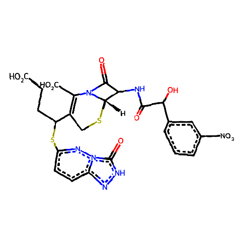 O=C(O)CCC(Sc1ccc2n[nH]c(=O)n2n1)C1=C(C(=O)O)N2C(=O)C(NC(=O)C(O)c3cccc([N+](=O)[O-])c3)[C@@H]2SC1